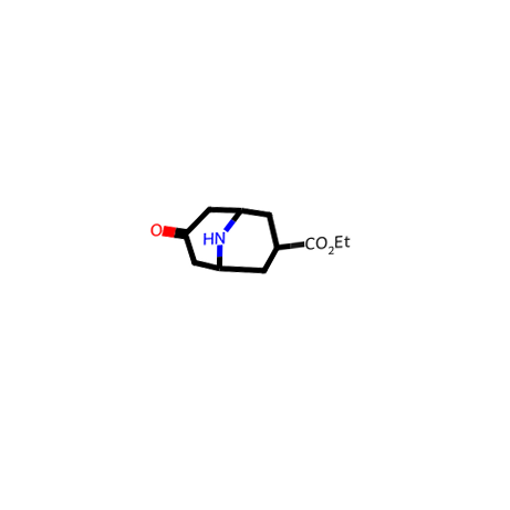 CCOC(=O)C1CC2CC(=O)CC(C1)N2